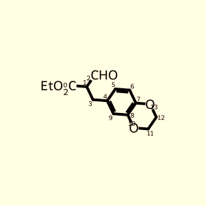 CCOC(=O)C(C=O)Cc1ccc2c(c1)OCCO2